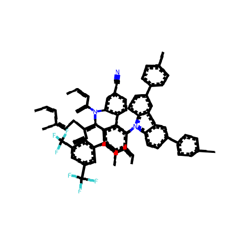 C=C/C(C/C=C(C)\C=C/C)=C(\C/C=C(C)\C=C/C)N(C(=C)/C=C\C)c1cc(C#N)ccc1-c1cc(-c2cc(C(F)(F)F)cc(C(F)(F)F)c2)ccc1-n1c2ccc(-c3ccc(C)cc3)cc2c2cc(-c3ccc(C)cc3)ccc21